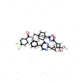 O=C(C1CCC(F)(F)CC1)N(CC12CCC(c3noc(C4CC(O)(C(F)(F)F)C4)n3)(CC1)CC2)c1cccc(-c2cnc(C3CC3)nc2)c1